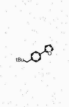 CC(C)(C)Cc1ccc(-c2ccco2)cc1